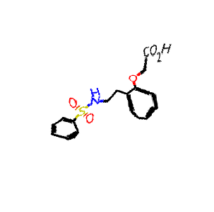 O=C(O)COc1ccccc1CCNS(=O)(=O)c1ccccc1